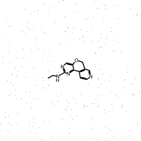 CCNc1ncc2c(n1)-c1ccncc1CO2